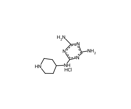 Cl.Nc1nc(N)nc(NC2CCNCC2)n1